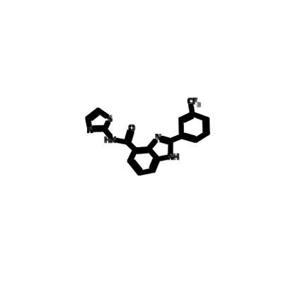 O=C(Nc1nccs1)c1cccc2[nH]c(-c3cccc(C(F)(F)F)c3)nc12